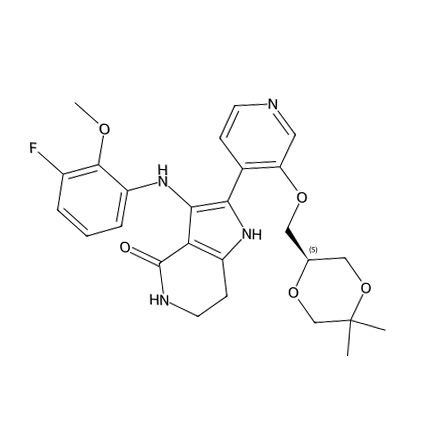 COc1c(F)cccc1Nc1c(-c2ccncc2OC[C@H]2COC(C)(C)CO2)[nH]c2c1C(=O)NCC2